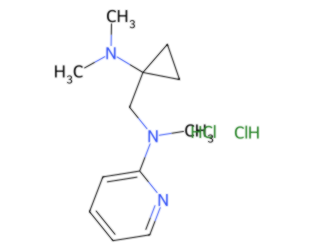 CN(CC1(N(C)C)CC1)c1ccccn1.Cl.Cl